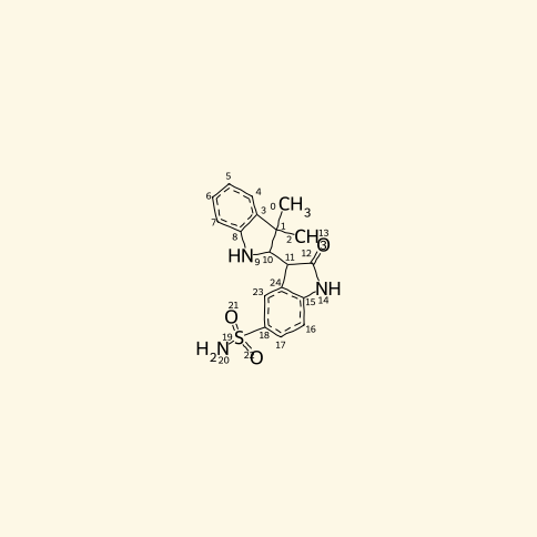 CC1(C)c2ccccc2NC1C1C(=O)Nc2ccc(S(N)(=O)=O)cc21